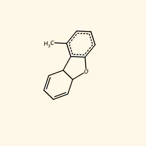 Cc1cccc2c1C1C=CC=CC1O2